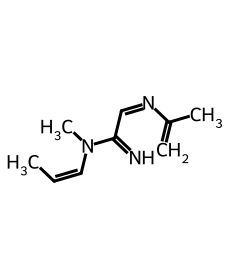 C=C(C)/N=C\C(=N)N(C)/C=C\C